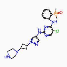 CP(C)(=O)c1ccccc1Nc1nc(Nc2cnn(C3CC(N4CCNCC4)C3)c2)ncc1Cl